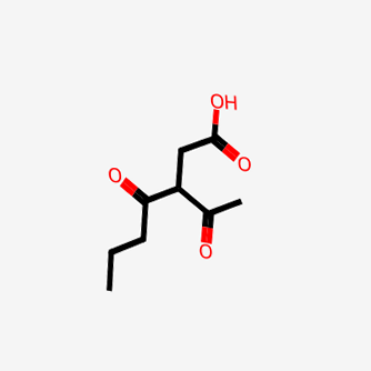 CCCC(=O)C(CC(=O)O)C(C)=O